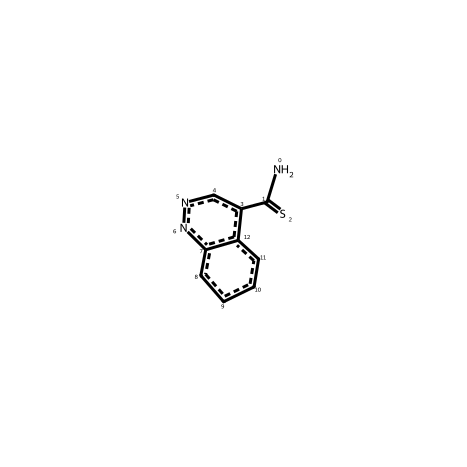 NC(=S)c1cnnc2ccccc12